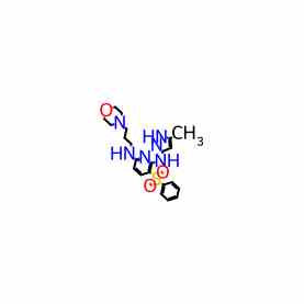 Cc1cc(Nc2nc(NCCCN3CCOCC3)ccc2S(=O)(=O)c2ccccc2)n[nH]1